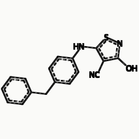 N#Cc1c(O)nsc1Nc1ccc(Cc2ccccc2)cc1